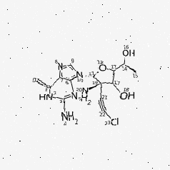 C=C1NC(N)=Nc2c1ncn2[C@@H]1OC([C@H](C)O)C(O)[C@]1(N)C#CCl